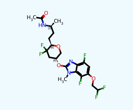 CC(=O)N[C@@H](C)CC[C@H]1OC[C@H](Oc2nc3c(F)cc(OCC(F)F)c(F)c3n2C)CC1(F)F